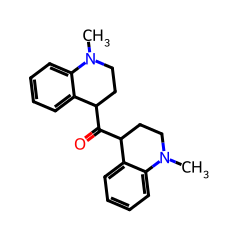 CN1CCC(C(=O)C2CCN(C)c3ccccc32)c2ccccc21